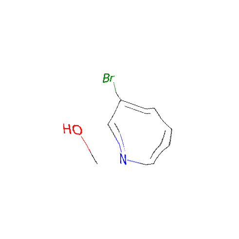 Brc1cccnc1.CO